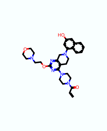 C=CC(=O)N1CCN(c2nc(OCCN3CCOCC3)nc3c2CCN(c2cc(O)cc4ccccc24)C3)CC1